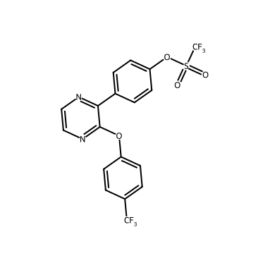 O=S(=O)(Oc1ccc(-c2nccnc2Oc2ccc(C(F)(F)F)cc2)cc1)C(F)(F)F